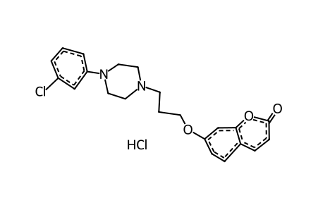 Cl.O=c1ccc2ccc(OCCCN3CCN(c4cccc(Cl)c4)CC3)cc2o1